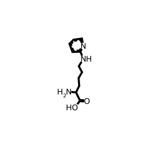 NC(CCCCNc1ccccn1)C(=O)O